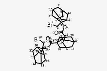 O=C(OC1(CBr)C2CC3CC(C2)CC1C3)C12CC3CC(C1)CC(C(=O)OC1(CBr)C4CC5CC(C4)CC1C5)(C3)C2